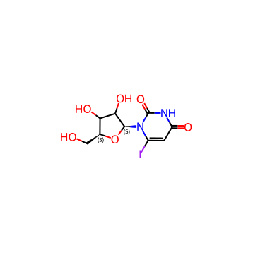 O=c1cc(I)n([C@H]2O[C@@H](CO)C(O)C2O)c(=O)[nH]1